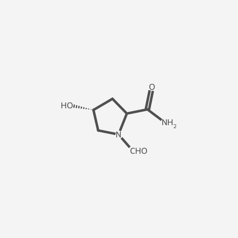 NC(=O)C1C[C@@H](O)CN1C=O